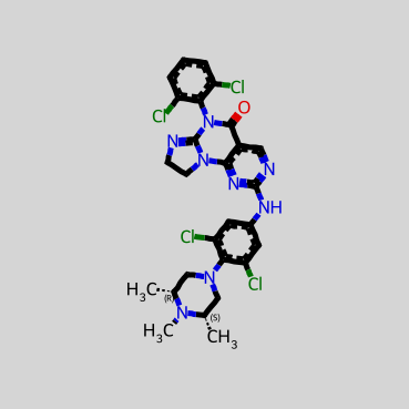 C[C@@H]1CN(c2c(Cl)cc(Nc3ncc4c(n3)N3CCN=C3N(c3c(Cl)cccc3Cl)C4=O)cc2Cl)C[C@H](C)N1C